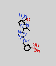 Cc1nc2c(C(N)=O)cccn2c1-c1ncnc(NCc2cccc(B(O)O)c2)n1